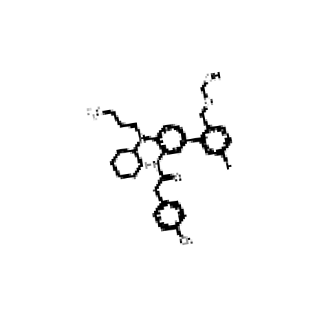 N#Cc1ccc(CC(=O)Nc2cc(-c3cc(F)ccc3COCO)ccc2N(CCCC(F)(F)F)C2CCCCC2)cc1